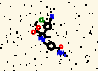 CCOC(=O)c1nn(Cc2ccc(C(N)=O)cc2)c(C)c1-c1ccc(C#N)c(Cl)c1